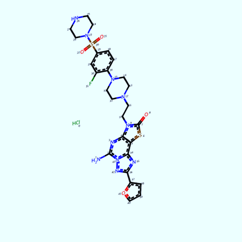 Cl.Nc1nc2c(sc(=O)n2CCN2CCN(c3ccc(S(=O)(=O)N4CCNCC4)cc3F)CC2)c2nc(-c3ccco3)nn12